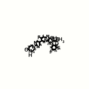 Cc1nc2cc(F)c(-c3cnc(N4CCNC(=O)CC4)nc3)cn2c1CN1C(=O)[C@@H](C)Oc2c(F)cc(F)cc21